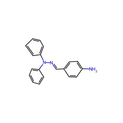 Nc1ccc(C=NN(c2ccccc2)c2ccccc2)cc1